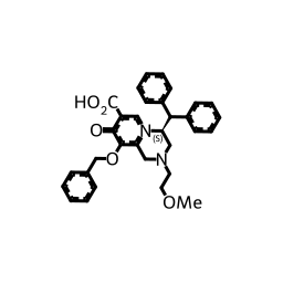 COCCN1Cc2c(OCc3ccccc3)c(=O)c(C(=O)O)cn2[C@@H](C(c2ccccc2)c2ccccc2)C1